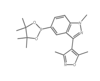 Cc1noc(C)c1-c1nn(C)c2ccc(B3OC(C)(C)C(C)(C)O3)cc12